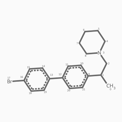 CC(CN1CCCCC1)c1ccc(-c2ccc(Br)cc2)cc1